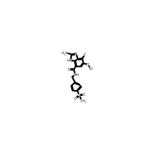 CCOc1cc(C(=O)NCc2ccc(S(C)(=O)=O)cc2)c2[nH]c(N)nc2c1F